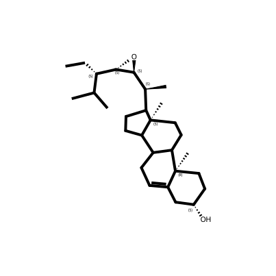 CC[C@@H](C(C)C)[C@@H]1O[C@H]1[C@@H](C)C1CCC2C3CC=C4C[C@@H](O)CC[C@]4(C)C3CC[C@@]21C